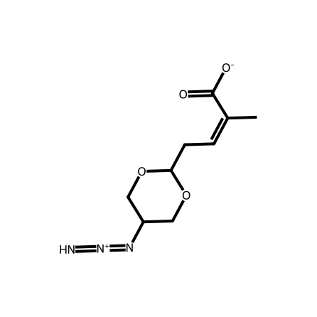 CC(=CCC1OCC(N=[N+]=N)CO1)C(=O)[O-]